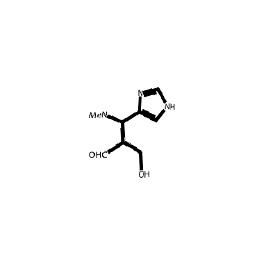 CNC(c1c[nH]cn1)C(C=O)CO